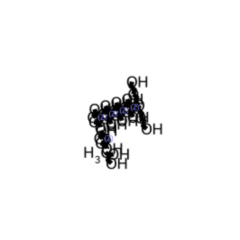 CC(O)CO.O=C(O)/C=C\C(=O)O.O=C(O)/C=C\C(=O)O.O=C(O)/C=C\C(=O)O.O=C(O)/C=C\C(=O)O.O=C(O)/C=C\C(=O)O.OCCOCCOCCOCCO